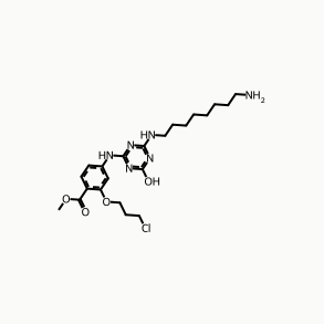 COC(=O)c1ccc(Nc2nc(O)nc(NCCCCCCCCN)n2)cc1OCCCCl